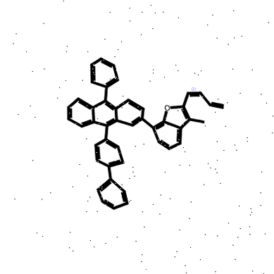 C=C/C=C\c1oc2c(-c3ccc4c(-c5ccccc5)c5ccccc5c(-c5ccc(-c6ccccc6)cc5)c4c3)cccc2c1C